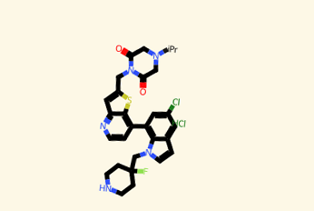 CC(C)N1CC(=O)N(Cc2cc3nccc(-c4cc(Cl)cc5ccn(CC6(F)CCNCC6)c45)c3s2)C(=O)C1.Cl